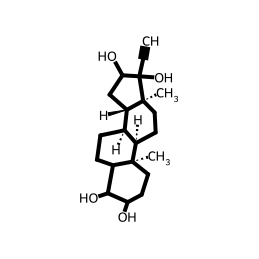 C#CC1(O)C(O)C[C@H]2[C@@H]3CCC4C(O)C(O)CC[C@]4(C)[C@@H]3CC[C@@]21C